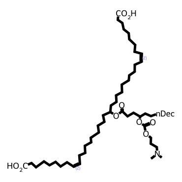 CCCCCCCCCCCCC(CCC(=O)OC(CCCCCCCCC/C=C\CCCCCCCC(=O)O)CCCCCCCCC/C=C\CCCCCCCC(=O)O)OC(=O)OCCCN(C)C